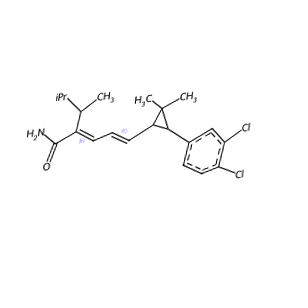 CC(C)C(C)/C(=C\C=C\C1C(c2ccc(Cl)c(Cl)c2)C1(C)C)C(N)=O